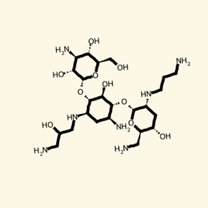 NCCCN[C@@H]1C[C@H](O)[C@@H](CN)O[C@@H]1O[C@H]1[C@H](O)[C@@H](O[C@H]2O[C@H](CO)[C@@H](O)[C@H](N)[C@H]2O)[C@H](NCC(O)CN)C[C@@H]1N